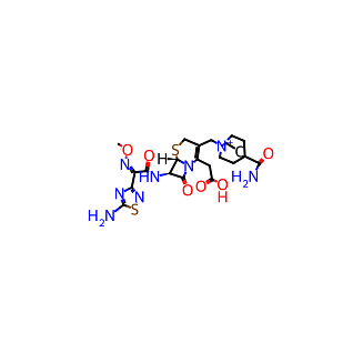 CO/N=C(\C(=O)N[C@@H]1C(=O)N2C(CC(=O)O)=C(C[N+]34CCC(C(N)=O)(CC3)CC4)CS[C@@H]12)c1nsc(N)n1